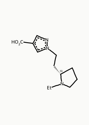 CCN1CCC[C@H]1CCn1cc(C(=O)O)cn1